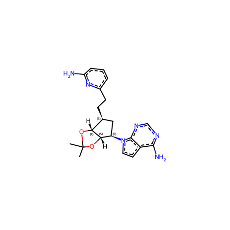 CC1(C)O[C@@H]2[C@@H](CCc3cccc(N)n3)C[C@@H](n3ccc4c(N)ncnc43)[C@@H]2O1